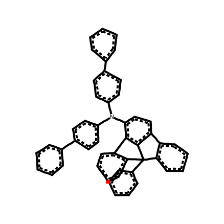 c1ccc(-c2ccc(N(c3ccc(-c4ccccc4)cc3)c3ccc4c5c3-c3ccccc3C5(c3ccccc3)c3ccccc3-4)cc2)cc1